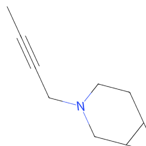 CC#CCN1CCC2CC2C1